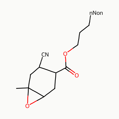 CCCCCCCCCCCCOC(=O)C1CC2OC2(C)CC1C#N